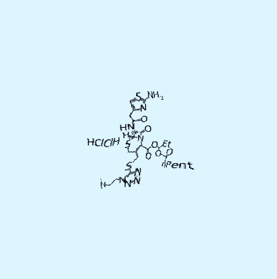 CCCCCC(=O)OC(CC)OC(=O)C1=C(CSc2nnnn2CCN(C)C)CS[C@@H]2[C@H](NC(=O)Cc3csc(N)n3)C(=O)N12.Cl.Cl